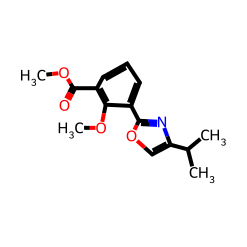 COC(=O)c1cccc(-c2nc(C(C)C)co2)c1OC